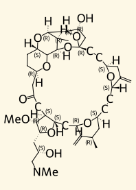 C=C1C[C@@H]2CC[C@]34C[C@@H](O)[C@H](O3)[C@@H]3O[C@H]5CC[C@H](CC(=O)C[C@@H]6[C@@H](OC)[C@@H](C[C@H](O)CNC)O[C@H]6C[C@H]6O[C@@H](CC[C@@H]1O2)C[C@@H](C)C6=C)OC5[C@H](O4)[C@@H]3C